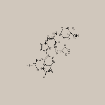 Cc1nc2ccc(-c3ccn4nc(N[C@H]5CC[C@](C)(O)CC5)nc(OC5COC5)c34)cc2n1CC(F)F